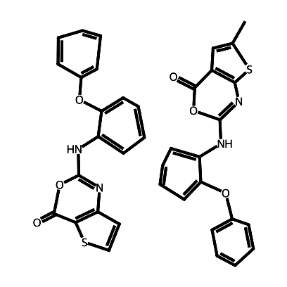 Cc1cc2c(=O)oc(Nc3ccccc3Oc3ccccc3)nc2s1.O=c1oc(Nc2ccccc2Oc2ccccc2)nc2ccsc12